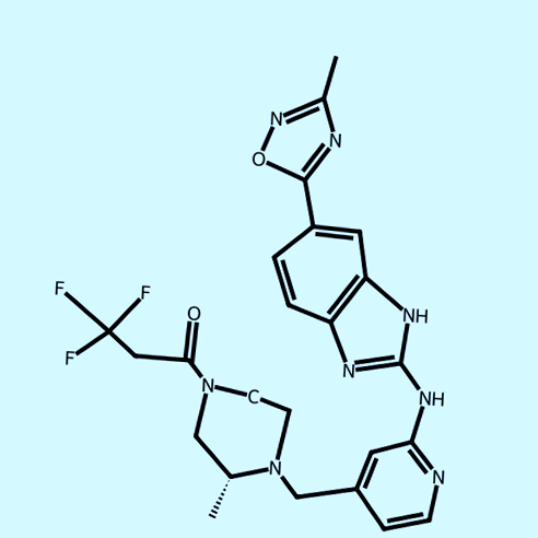 Cc1noc(-c2ccc3nc(Nc4cc(CN5CCN(C(=O)CC(F)(F)F)C[C@H]5C)ccn4)[nH]c3c2)n1